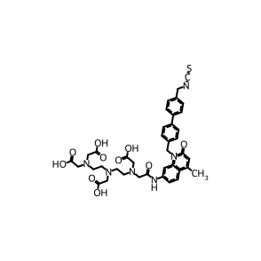 Cc1cc(=O)n(Cc2ccc(-c3ccc(CN=C=S)cc3)cc2)c2cc(NC(=O)CN(CCN(CCN(CC(=O)O)CC(=O)O)CC(=O)O)CC(=O)O)ccc12